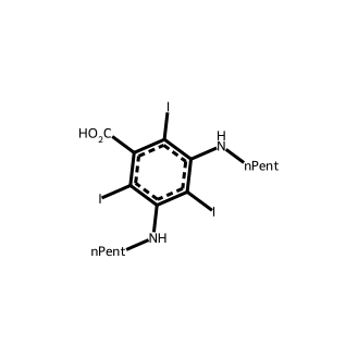 CCCCCNc1c(I)c(NCCCCC)c(I)c(C(=O)O)c1I